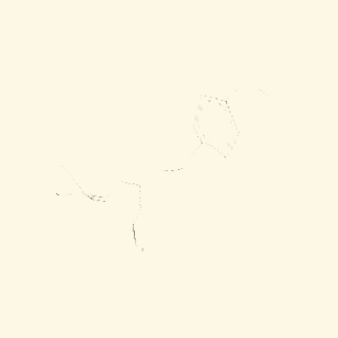 COc1ccc(COC(C/C=C(\C)Cl)CCO)cc1